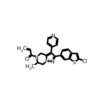 C=CC(=O)N1Cc2c(-c3ccncc3)c(-c3ccc4cc(Cl)sc4c3)nn2CC1C